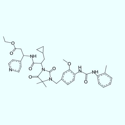 CCOC(=O)CC(NC(=O)C(CC1CC1)N1C(=O)N(Cc2ccc(NC(=O)Nc3ccccc3C)c(OC)c2)C(C)(C)C1=O)c1ccncc1